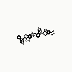 CS(=O)(=O)c1ccc2c(c1)CC[C@H]([C@@H]1c3cccc(CS(=O)(=O)c4ccc5c(c4)CC[C@@H]([C@@H]4c6ccccc6-c6cncn64)[C@H]5O)c3-c3cncn31)[C@@H]2O